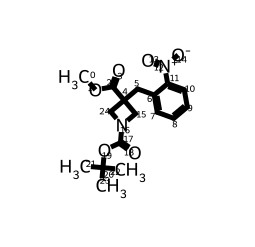 COC(=O)C1(Cc2ccccc2[N+](=O)[O-])CN(C(=O)OC(C)(C)C)C1